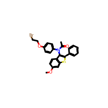 COc1ccc2c(N(C(C)=O)c3ccc(OCCBr)cc3)c(-c3ccccc3)sc2c1